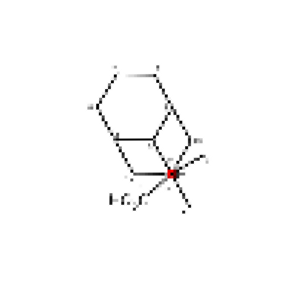 CC(C)(C(=O)O)C1C2CCCC1CNC2